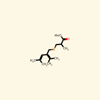 COC(=O)C(C)CSCC(C=C(C)C)=C(C)C